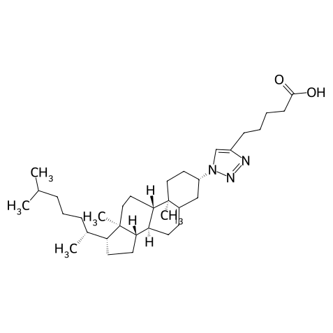 CC(C)CCC[C@@H](C)[C@H]1CC[C@H]2[C@@H]3CC=C4C[C@@H](n5cc(CCCCC(=O)O)nn5)CC[C@]4(C)[C@H]3CC[C@]12C